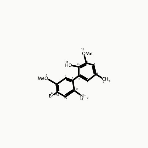 COc1cc(-c2cc(C)cc(OC)c2O)c(N)cc1Br